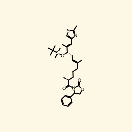 CC(=CC[C@H](O[Si](C)(C)C(C)(C)C)C(C)=Cc1csc(C)n1)CCC[C@H](C)C(=O)N1C(=O)OCC1c1ccccc1